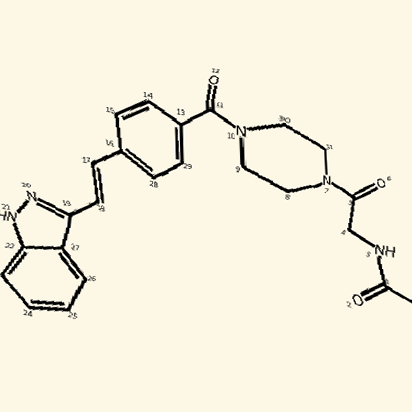 CC(=O)NCC(=O)N1CCN(C(=O)c2ccc(/C=C/c3n[nH]c4ccccc34)cc2)CC1